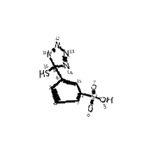 O=S(=O)(O)c1cccc(C2(S)N=NN=N2)c1